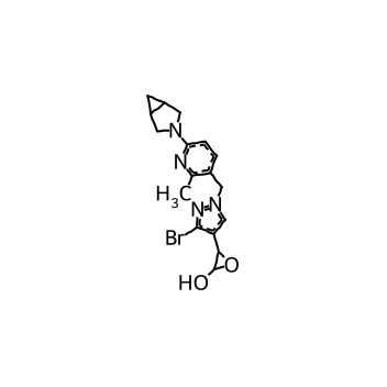 Cc1nc(N2CC3CC3C2)ccc1Cn1cc(C2OC2O)c(Br)n1